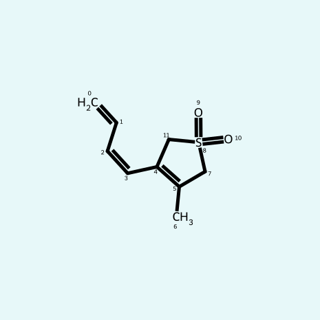 C=C/C=C\C1=C(C)CS(=O)(=O)C1